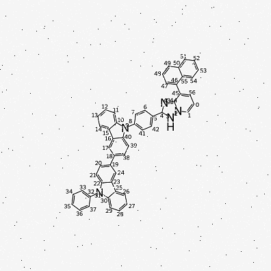 C1=CN2NC(c3ccc(-n4c5ccccc5c5cc(-c6ccc7c(c6)c6ccccc6n7-c6ccccc6)ccc54)cc3)N=C2C(c2cccc3ccccc23)=C1